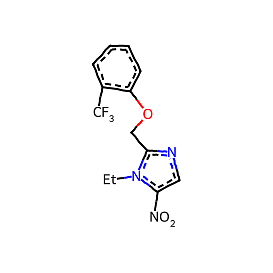 CCn1c([N+](=O)[O-])cnc1COc1ccccc1C(F)(F)F